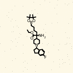 CCOC(=O)C(N)(CCCCB1OC(C)(C)C(C)(C)O1)C1CCN(C2CCc3cc(F)ccc32)CC1